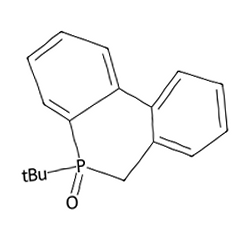 CC(C)(C)P1(=O)Cc2ccccc2-c2ccccc21